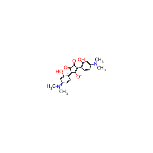 CN(C)c1ccc(C2=C([O-])/C(=C3\C=CC(=[N+](C)C)C=C3O)C(=O)C2=O)c(O)c1